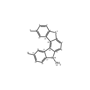 Cc1ccc2sc3ccc4c(c5cc(C)ccc5n4P)c3c2c1